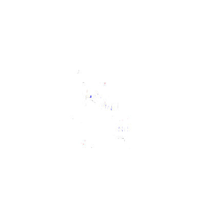 CCC[C@@H]1NC(=O)[C@@H](NS(=O)(=O)c2ccc(F)cc2)Cc2ccc(cc2)OCCCC[C@@H](C=O)NC1=O